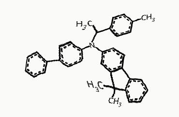 Cc1ccc(C(C)N(c2ccc(-c3ccccc3)cc2)c2ccc3c(c2)C(C)(C)c2ccccc2-3)cc1